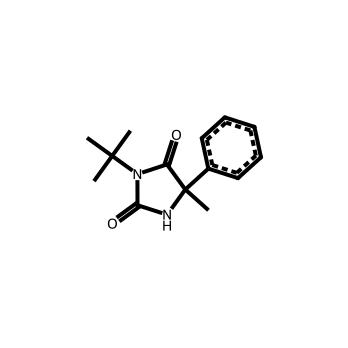 CC1(c2ccccc2)NC(=O)N(C(C)(C)C)C1=O